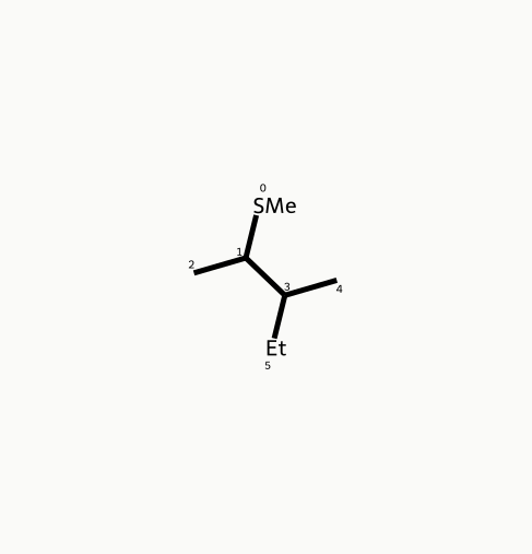 [CH2]SC(C)C(C)CC